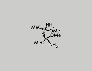 CO[Si](N)(OC)O[Si](N)(OC)OC